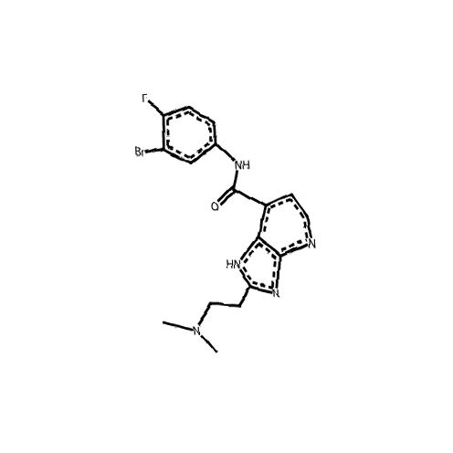 CN(C)CCc1nc2nccc(C(=O)Nc3ccc(F)c(Br)c3)c2[nH]1